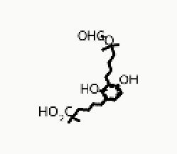 CC(C)(CCCCc1c(O)ccc(CCCCC(C)(C)C(=O)O)c1O)OC=O